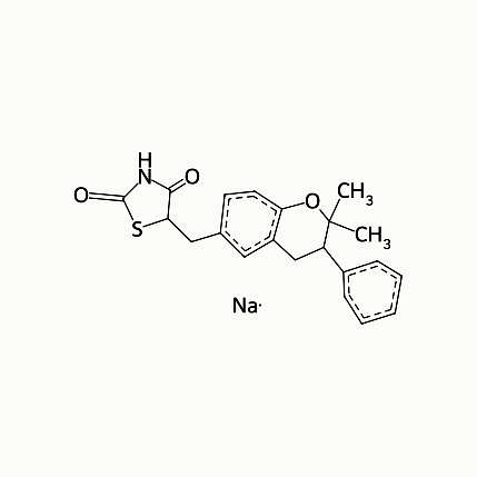 CC1(C)Oc2ccc(CC3SC(=O)NC3=O)cc2CC1c1ccccc1.[Na]